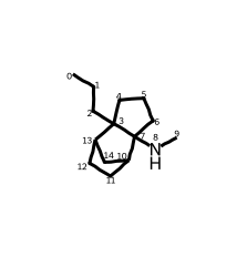 CCCC12CCCC1(NC)C1CCC2C1